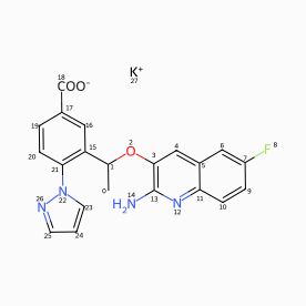 CC(Oc1cc2cc(F)ccc2nc1N)c1cc(C(=O)[O-])ccc1-n1cccn1.[K+]